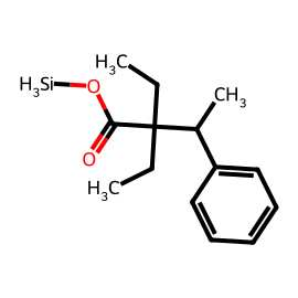 CCC(CC)(C(=O)O[SiH3])C(C)c1ccccc1